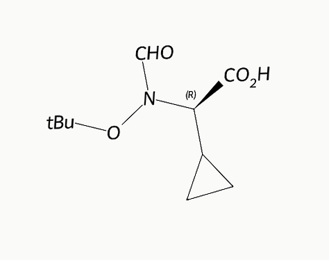 CC(C)(C)ON(C=O)[C@@H](C(=O)O)C1CC1